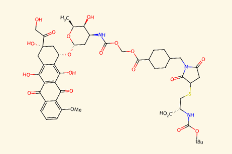 COc1cccc2c1C(=O)c1c(O)c3c(c(O)c1C2=O)C[C@@](O)(C(=O)CO)C[C@@H]3O[C@H]1C[C@H](NC(=O)OCOC(=O)C2CCC(CN3C(=O)CC(SC[C@H](NC(=O)OC(C)(C)C)C(=O)O)C3=O)CC2)[C@H](O)[C@H](C)O1